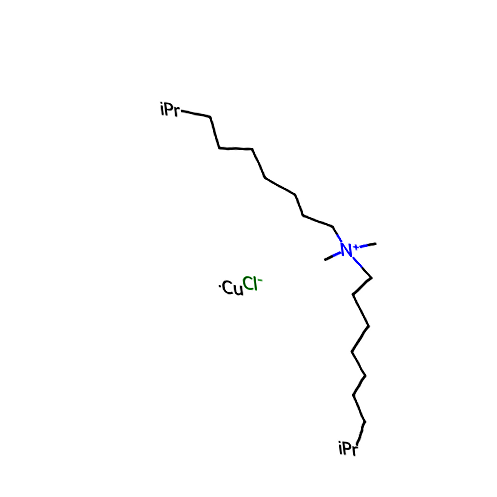 CC(C)CCCCCCC[N+](C)(C)CCCCCCCC(C)C.[Cl-].[Cu]